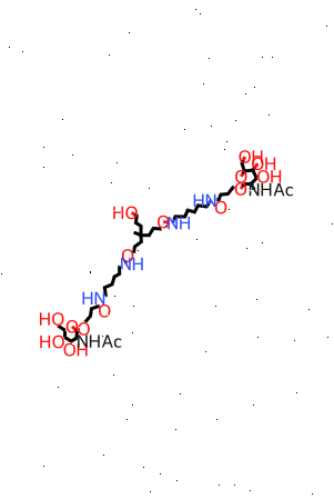 CC(=O)NC1C(OCCCC(=O)NCCCCCCNOCCCC(C)(CCCO)CCCONCCCCCCNC(=O)CCCOC2OC(CO)C(O)C(O)C2NC(C)=O)OC(CO)C(O)C1O